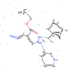 CCOC(=O)/C(C#N)=C\N(NCc1ccccc1)c1cccnc1